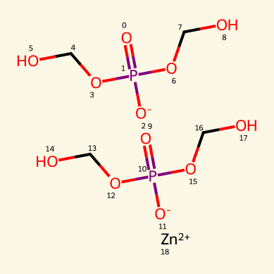 O=P([O-])(OCO)OCO.O=P([O-])(OCO)OCO.[Zn+2]